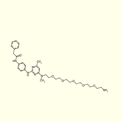 Cc1cc(N(C)CCOCCOCCOCCOCCOCCN)nc(Nc2ccc(NC(=O)Cc3ccccc3)cc2)n1